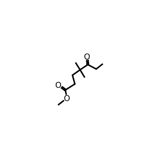 CCC(=O)C(C)(C)CCC(=O)OC